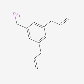 C=CCc1cc(CP)cc(CC=C)c1